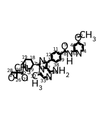 COc1ccnc(NC(=O)c2ccc(-c3nc([C@@H]4CCCN(C(=O)C5(C)COC5)C4)n4c(C)cnc(N)c34)cc2)c1